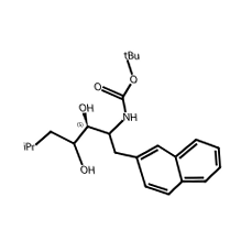 CC(C)CC(O)[C@@H](O)C(Cc1ccc2ccccc2c1)NC(=O)OC(C)(C)C